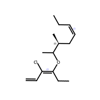 C=C/C(Cl)=C(\CC)OC(C)[C@@H](C)C/C=C\CC